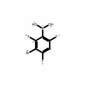 OB(O)c1c(F)cc(F)c(Br)c1F